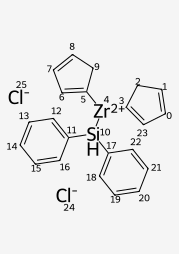 C1=CC[C]([Zr+2]([C]2=CC=CC2)[SiH](c2ccccc2)c2ccccc2)=C1.[Cl-].[Cl-]